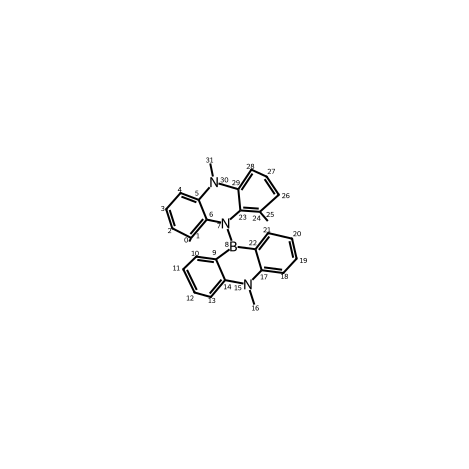 Cc1cccc2c1N(B1c3ccccc3N(C)c3ccccc31)c1c(C)cccc1N2C